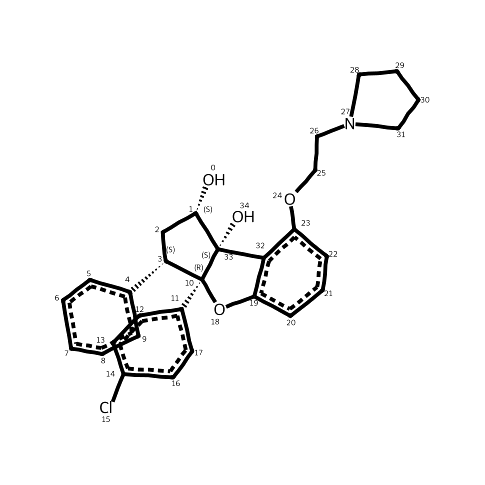 O[C@H]1C[C@@H](c2ccccc2)[C@]2(c3ccc(Cl)cc3)Oc3cccc(OCCN4CCCC4)c3[C@]12O